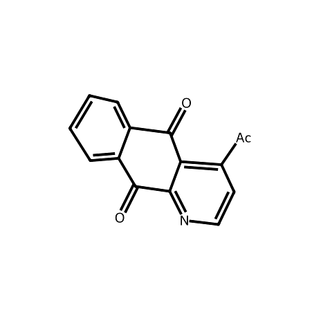 CC(=O)c1ccnc2c1C(=O)c1ccccc1C2=O